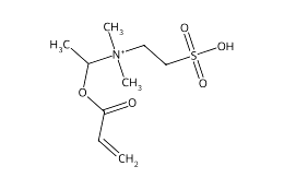 C=CC(=O)OC(C)[N+](C)(C)CCS(=O)(=O)O